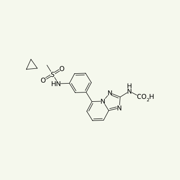 C1CC1.CS(=O)(=O)Nc1cccc(-c2cccc3nc(NC(=O)O)nn23)c1